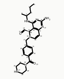 CCCC(C)Nc1nc(N)nc2c1[C@H](C=O)N(Cc1ccc(C(=O)N3CCNCC3)cc1)C=C2